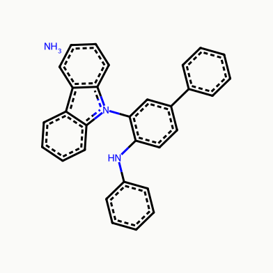 N.c1ccc(Nc2ccc(-c3ccccc3)cc2-n2c3ccccc3c3ccccc32)cc1